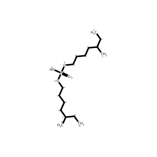 CCC(C)CCCCOP(=O)(O)OCCCCC(C)CC